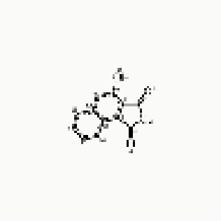 O=C1OC(=O)c2c1c(O)cc1ccccc21